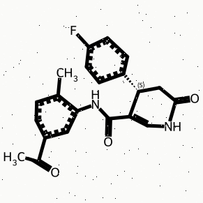 CC(=O)c1ccc(C)c(NC(=O)C2=CNC(=O)C[C@H]2c2ccc(F)cc2)c1